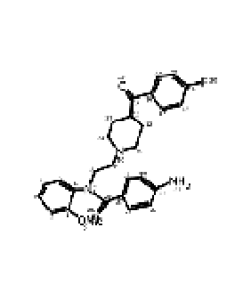 COc1ccccc1N(CCN1CCC(C(=O)c2ccc(F)cc2)CC1)C(=O)c1ccc(N)cc1